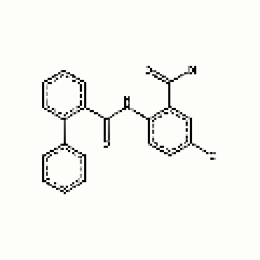 O=C(O)c1cc(Cl)ccc1NC(=O)c1ccccc1-c1ccccc1